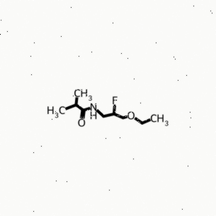 CCOCC(F)CNC(=O)C(C)C